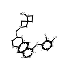 CN1CCC12CN(C[C@H]1COc3cc4ncnc(Nc5cccc(Br)c5F)c4cc3O1)C2